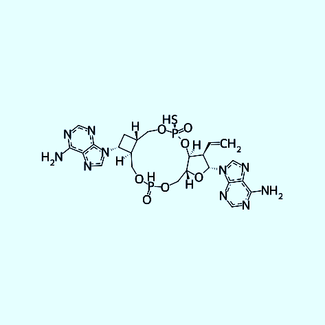 C=C[C@@H]1[C@@H]2O[P@](=O)(S)OC[C@H]3C[C@@H](n4cnc5c(N)ncnc54)[C@@H]3CO[PH](=O)OC[C@H]2O[C@H]1n1cnc2c(N)ncnc21